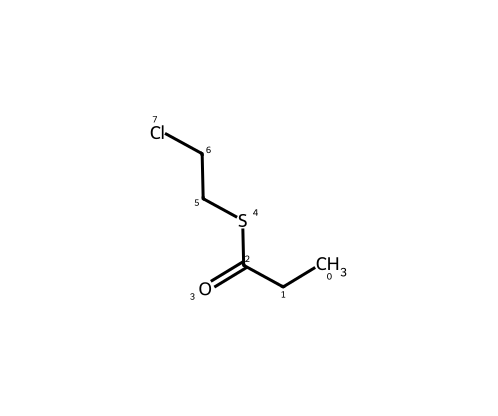 CCC(=O)SCCCl